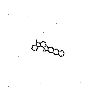 Cn1c2ccccc2c2c3oc4cc5cc6ccccc6cc5cc4c3ccc21